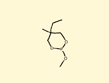 CCC1(C)COP(OC)OC1